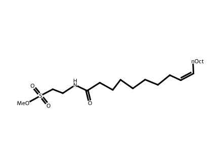 CCCCCCCC/C=C\CCCCCCCC(=O)NCCS(=O)(=O)OC